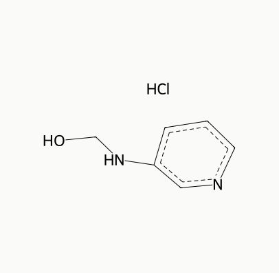 Cl.OCNc1cccnc1